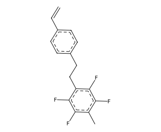 C=Cc1ccc(CCc2c(F)c(F)c(C)c(F)c2F)cc1